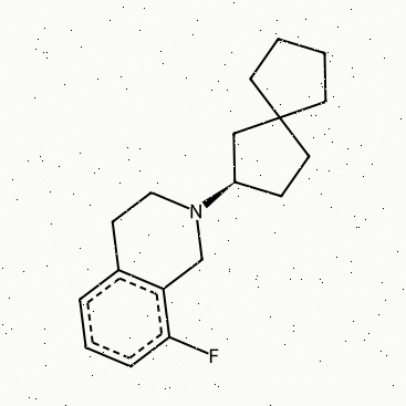 Fc1cccc2c1CN([C@@H]1CCC3(CCCC3)C1)CC2